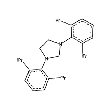 CC(C)c1cccc(C(C)C)c1N1[CH]N(c2c(C(C)C)cccc2C(C)C)CC1